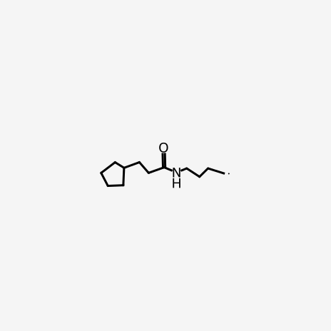 [CH2]CCCNC(=O)CCC1CCCC1